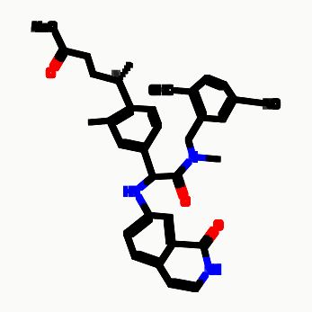 COC(=O)CC[C@H](C)c1ccc(C(Nc2ccc3cc[nH]c(=O)c3c2)C(=O)N(C)Cc2cc(N=O)ccc2C=O)cc1C